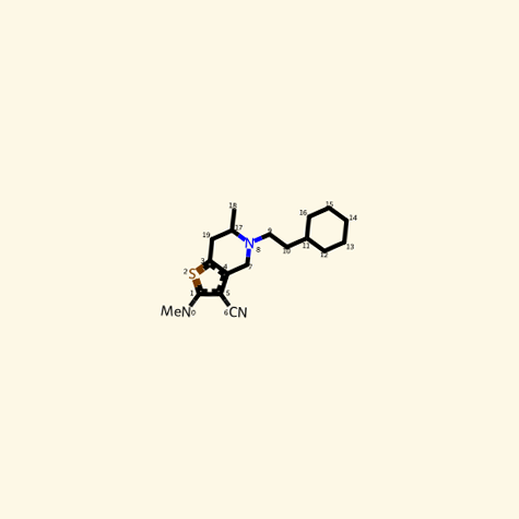 CNc1sc2c(c1C#N)CN(CCC1CCCCC1)C(C)C2